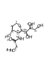 O=C(CO)N[C@@H]1C(O)CCOC1[C@H](O)C(O)CO